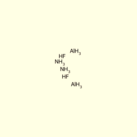 F.F.N.N.[AlH3].[AlH3]